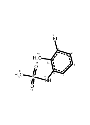 CCc1cccc(NS(C)(=O)=O)c1C